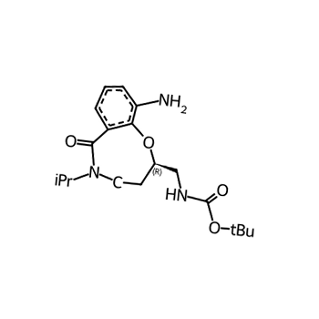 CC(C)N1CC[C@H](CNC(=O)OC(C)(C)C)Oc2c(N)cccc2C1=O